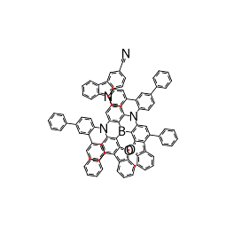 N#Cc1ccc2c(c1)c1ccccc1n2-c1cc2c3c(c1)N(c1ccc(-c4ccccc4)cc1-c1ccccc1)c1cc(-c4ccccc4)c4c(oc5ccccc54)c1B3c1c(cc(-c3ccccc3)c3c1oc1ccccc13)N2c1ccc(-c2ccccc2)cc1-c1ccccc1